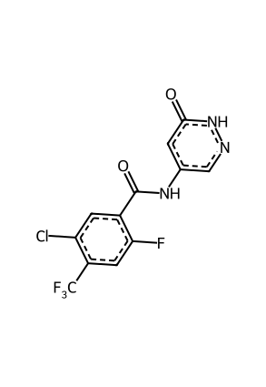 O=C(Nc1cn[nH]c(=O)c1)c1cc(Cl)c(C(F)(F)F)cc1F